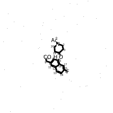 CC(=O)N1CCC(Oc2cc(CC(=O)O)cc3ccc(F)cc23)CC1